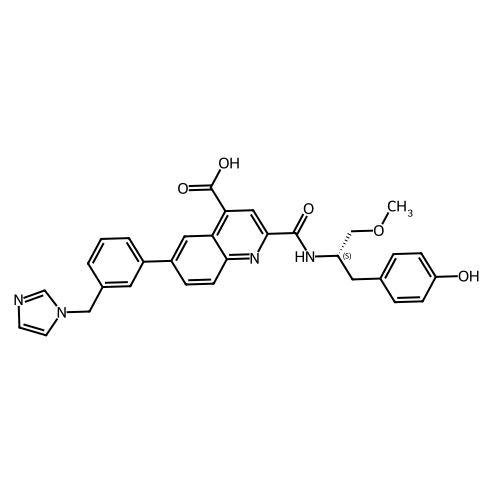 COC[C@H](Cc1ccc(O)cc1)NC(=O)c1cc(C(=O)O)c2cc(-c3cccc(Cn4ccnc4)c3)ccc2n1